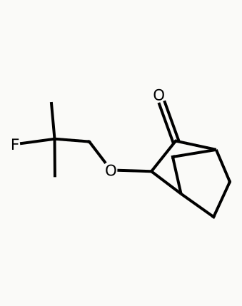 CC(C)(F)COC1C(=O)C2CCC1C2